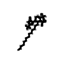 CCCCCCCCCCCCCCC1C(n2oc(C(C)(C)C)cc2=O)=CC=C(S(C)(=O)=O)C1=S(=O)=O